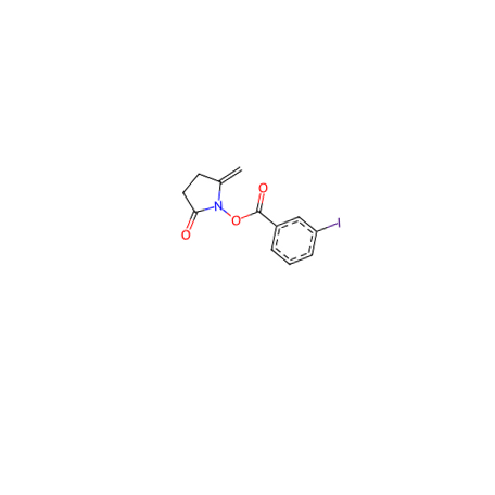 C=C1CCC(=O)N1OC(=O)c1cccc(I)c1